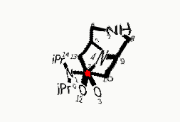 CC(C)N(C(=O)N1C2CNCC1CC(=O)C2)C(C)C